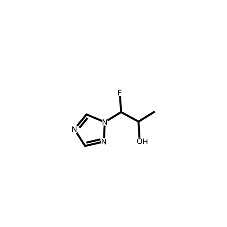 CC(O)C(F)n1cncn1